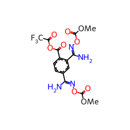 COC(=O)ON=C(N)c1ccc(C(=O)OC(=O)C(F)(F)F)c(C(N)=NOC(=O)OC)c1